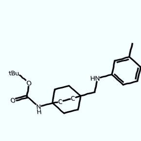 Cc1cccc(NCC23CCC(NC(=O)OC(C)(C)C)(CC2)CC3)c1